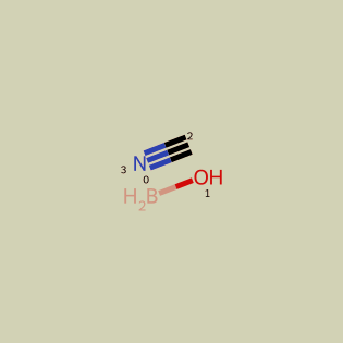 BO.C#N